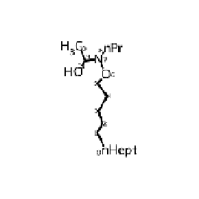 CCCCCCCCCCCCON(CCC)C(C)O